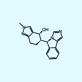 Cn1cc2c(n1)CC[C@H]([C@@H]1c3ccccc3-c3cncn31)[C@@H]2O